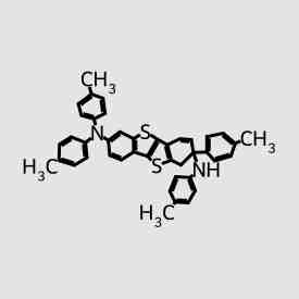 Cc1ccc(NC2(c3ccc(C)cc3)C=Cc3c(sc4c3sc3cc(N(c5ccc(C)cc5)c5ccc(C)cc5)ccc34)C2)cc1